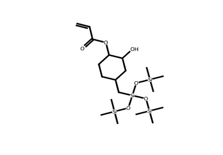 C=CC(=O)OC1CCC(C[Si](O[Si](C)(C)C)(O[Si](C)(C)C)O[Si](C)(C)C)CC1O